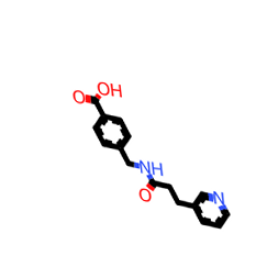 O=C(CCc1cccnc1)NCc1ccc(C(=O)O)cc1